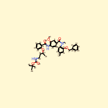 COc1cc(C(=O)N(C)c2ccc(C)cc2OCc2ccccc2)ccc1NC(=O)c1ccccc1OC(C)CCNC(=O)OC(C)(C)C